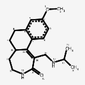 COc1ccc2c(c1)CCC1CCNC(=O)C(CNC(C)C)=C21